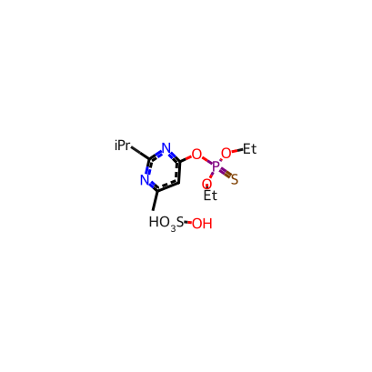 CCOP(=S)(OCC)Oc1cc(C)nc(C(C)C)n1.O=S(=O)(O)O